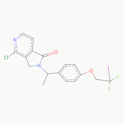 CC(c1ccc(OCC(F)(F)I)cc1)N1Cc2c(ccnc2Cl)C1=O